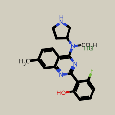 Cc1ccc2c(N(C(=O)O)C3CCNC3)nc(-c3c(O)cccc3F)nc2c1.Cl